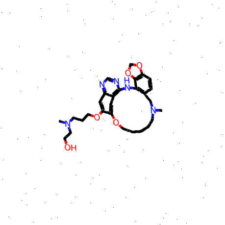 CN(CCO)CCCOc1cc2ncnc3c2cc1OCCCCCN(C)Cc1ccc2c(c1N3)OCO2